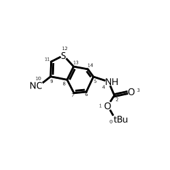 CC(C)(C)OC(=O)Nc1ccc2c(C#N)csc2c1